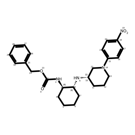 O=C(N[C@@H]1CCCC[C@H]1N[C@H]1CCCN(c2ccc([N+](=O)[O-])cc2)C1)OCc1ccccc1